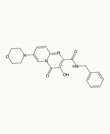 O=C(NCc1ccccc1)c1nc2ccc(N3CCOCC3)cn2c(=O)c1O